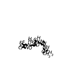 COC(CNc1cc(C(=O)NC(C)c2ncc(C(=O)Nc3cc(C(F)(F)F)c(Cl)cn3)s2)ncn1)OC